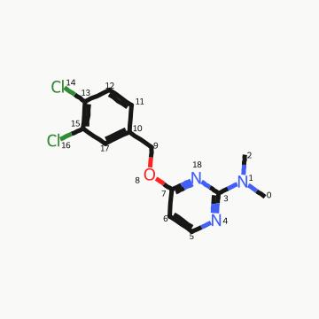 CN(C)c1nccc(OCc2ccc(Cl)c(Cl)c2)n1